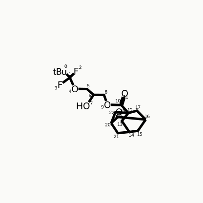 CC(C)(C)C(F)(F)OCC(O)COC(=O)C12CC3CC(C1)C(=O)C(C3)C2